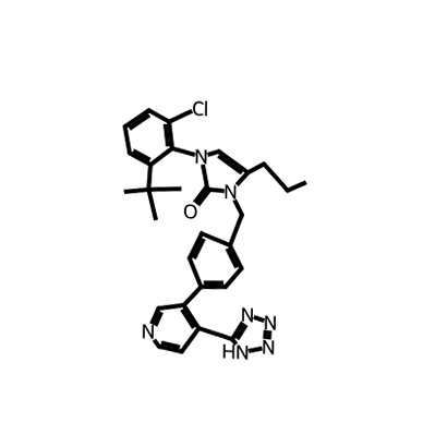 CCCc1cn(-c2c(Cl)cccc2C(C)(C)C)c(=O)n1Cc1ccc(-c2cnccc2-c2nnn[nH]2)cc1